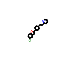 Clc1ccc2oc(-c3ccc(C=Cc4ccccn4)cc3)cc2c1